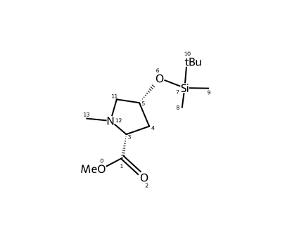 COC(=O)[C@H]1C[C@@H](O[Si](C)(C)C(C)(C)C)CN1C